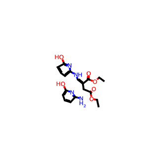 CCOC(=O)CC(=CNc1cccc(O)n1)C(=O)OCC.Nc1cccc(O)n1